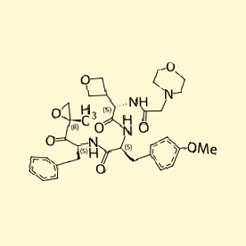 COc1ccc(C[C@H](NC(=O)[C@@H](NC(=O)CN2CCOCC2)C2COC2)C(=O)N[C@@H](Cc2ccccc2)C(=O)[C@@]2(C)CO2)cc1